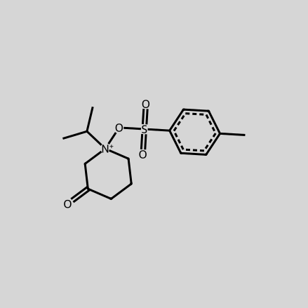 Cc1ccc(S(=O)(=O)O[N+]2(C(C)C)CCCC(=O)C2)cc1